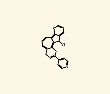 ClC1C2=CC=CSC2=C2C=CC=C3CN=C(c4ccncc4)SC3=C21